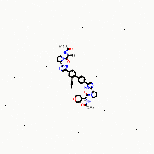 CC#Cc1cc(-c2cnc([C@@H]3CCCN3C(=O)C(NC(=O)OC)C(C)C)[nH]2)ccc1-c1ccc(-c2cnc([C@@H]3CCCN3C(=O)[C@@H](NC(=O)OC)C3CCOCC3)[nH]2)cc1